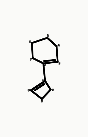 C1=C(C2=CCCCC2)CC1